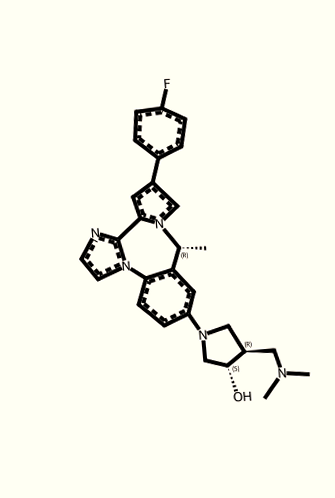 C[C@@H]1c2cc(N3C[C@@H](CN(C)C)[C@H](O)C3)ccc2-n2ccnc2-c2cc(-c3ccc(F)cc3)cn21